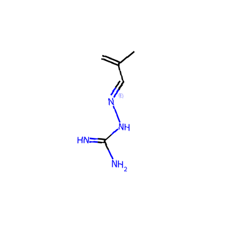 C=C(C)/C=N/NC(=N)N